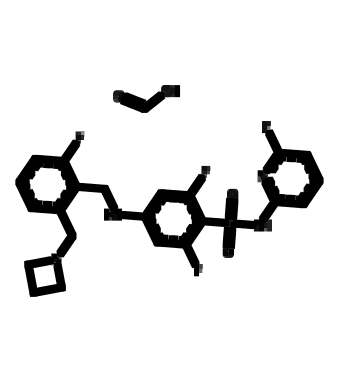 O=CO.O=S(=O)(Nc1cccc(F)n1)c1c(F)cc(NCc2c(F)cccc2CN2CCC2)cc1F